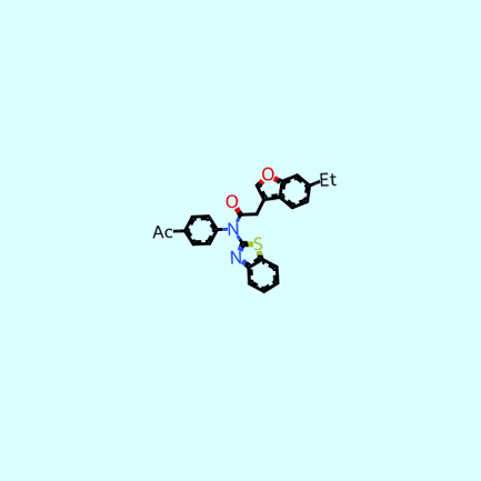 CCc1ccc2c(CC(=O)N(c3ccc(C(C)=O)cc3)c3nc4ccccc4s3)coc2c1